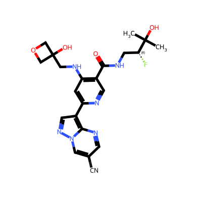 CC(C)(O)[C@H](F)CNC(=O)c1cnc(-c2cnn3cc(C#N)cnc23)cc1NCC1(O)COC1